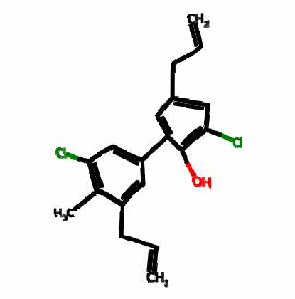 C=CCc1cc(Cl)c(O)c(-c2cc(Cl)c(C)c(CC=C)c2)c1